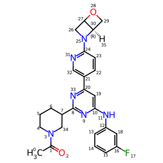 CC(=O)N1CCCC(c2nc(Nc3cccc(F)c3)cc(-c3ccc(N4CC5OC[C@H]54)nc3)n2)C1